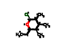 CCC1O[C@H](Cl)C(C)[C@@H](C)[C@@H]1C